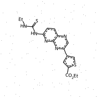 CCNC(=S)Nc1ccc2ncc(-c3csc(C(=O)OCC)c3)nc2n1